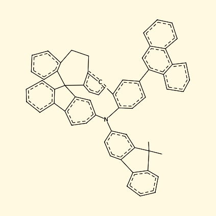 Cc1cc(-c2cc3ccccc3c3ccccc23)ccc1N(c1ccc2c(c1)C(C)(C)c1ccccc1-2)c1ccc2c(c1)C1(c3ccccc3CCc3ccccc31)c1ccccc1-2